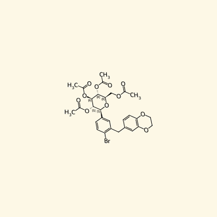 CC(=O)OC[C@H]1O[C@@H](c2ccc(Br)c(Cc3ccc4c(c3)OCCO4)c2)[C@H](OC(C)=O)[C@@H](OC(C)=O)[C@@H]1OC(C)=O